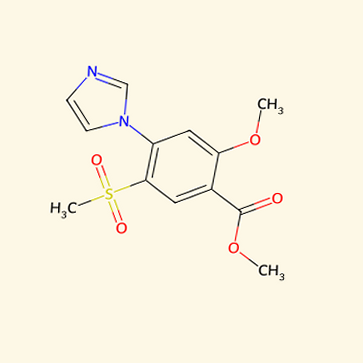 COC(=O)c1cc(S(C)(=O)=O)c(-n2ccnc2)cc1OC